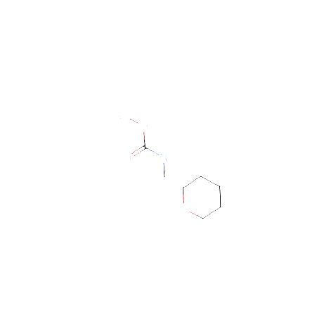 CC(C)(C)OC(=O)NC[C@@H]1CCCCO1